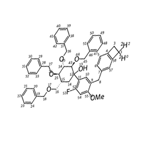 [2H]C1([2H])Cc2ccc(Cc3cc(C4(O)C[C@H](COCc5ccccc5)[C@@H](OCc5ccccc5)[C@H](OCc5ccccc5)[C@H]4OCc4ccccc4)c(F)cc3OC)cc21